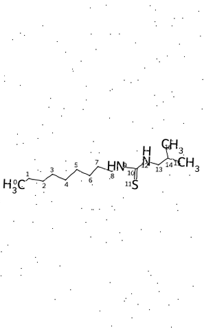 CCCCCCCCCNC(=S)NCC(C)C